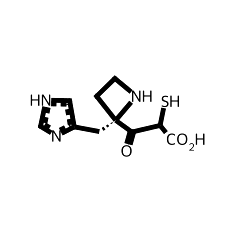 O=C(O)C(S)C(=O)[C@@]1(Cc2c[nH]cn2)CCN1